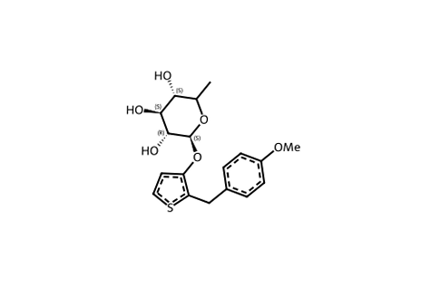 COc1ccc(Cc2sccc2O[C@@H]2OC(C)[C@@H](O)[C@H](O)[C@H]2O)cc1